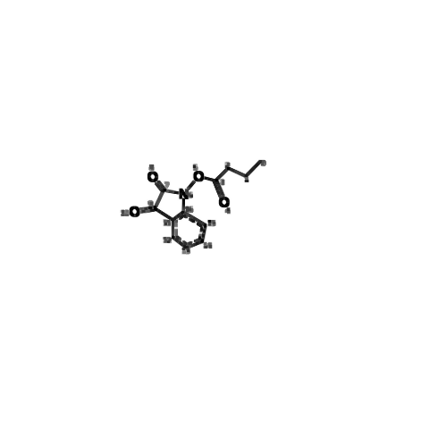 CCCC(=O)ON1C(=O)C(=O)c2ccccc21